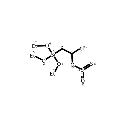 CCCC(C[Si](OCC)(OCC)OCC)O[SH](=O)=S